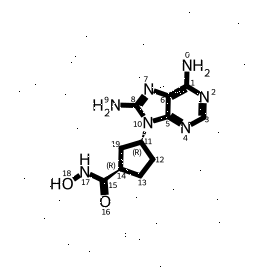 Nc1ncnc2c1nc(N)n2[C@@H]1CC[C@@H](C(=O)NO)C1